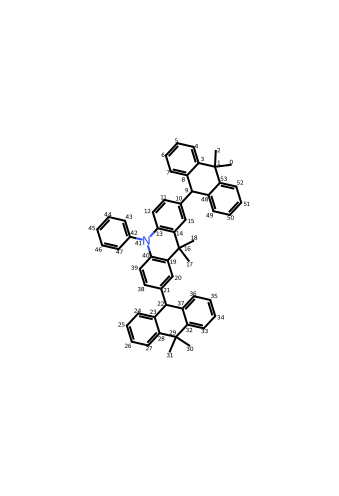 CC1(C)c2ccccc2C(c2ccc3c(c2)C(C)(C)c2cc(C4c5ccccc5C(C)(C)c5ccccc54)ccc2N3c2ccccc2)c2ccccc21